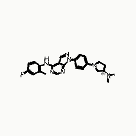 Cc1cc(F)ccc1Nc1ncnc2c1cnn2-c1ccc(N2CC[C@@H](N(C)C)C2)cc1